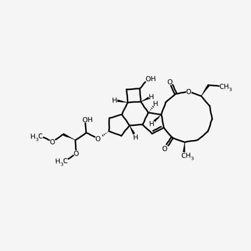 CC[C@H]1CCCC[C@@H](C)C(=O)C2=CC3[C@@H]4C[C@H](OC(O)[C@H](COC)OC)CC4[C@@H]4CC(O)[C@@H]4[C@H]3[C@@H]2CC(=O)O1